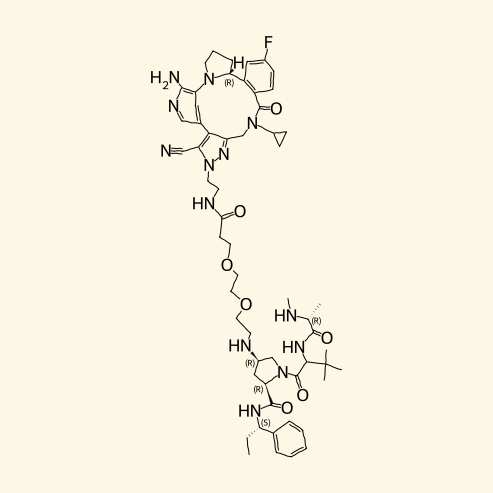 CC[C@H](NC(=O)[C@H]1C[C@@H](NCCOCCOCCC(=O)NCCn2nc3c(c2C#N)-c2cnc(N)c(c2)N2CCC[C@@H]2c2cc(F)ccc2C(=O)N(C2CC2)C3)CN1C(=O)C(NC(=O)[C@@H](C)NC)C(C)(C)C)c1ccccc1